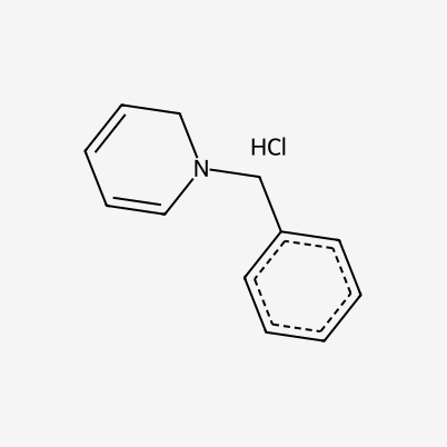 C1=CCN(Cc2ccccc2)C=C1.Cl